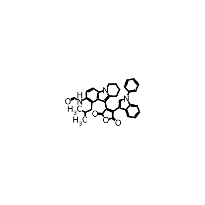 CC(C)Cc1c(NC=O)ccc2c1c(C1=C(c3cn(-c4ccccc4)c4ccccc34)C(=O)OC1=O)c1n2CCCC1